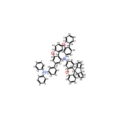 c1ccc(N(c2ccccc2)c2cccc(-c3cc(N(c4ccc5c(c4)Oc4ccccc4C54c5ccccc5-c5ccccc54)c4ccc5c(c4)oc4ccccc45)c4c(c3)oc3ccccc34)c2)cc1